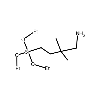 CCO[Si](CCC(C)(C)CN)(OCC)OCC